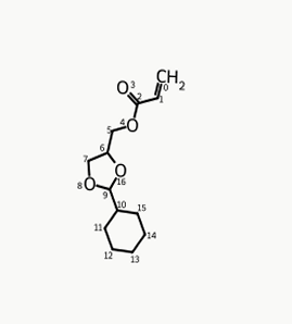 C=CC(=O)OCC1COC(C2CCCCC2)O1